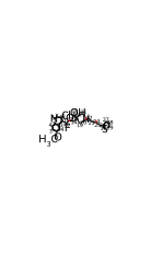 COc1ccc2ncc(Cl)c([C@@H](F)CCC3(C(=O)O)CCN(CCCCc4cccs4)CC3)c2c1